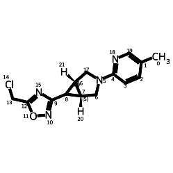 Cc1ccc(N2C[C@@H]3C(c4noc(CCl)n4)[C@@H]3C2)nc1